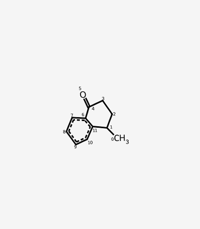 CC1CCC(=O)c2ccccc21